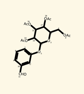 CC(=O)OCC1OC(Oc2cccc(C=O)c2)C(OC(C)=O)C(OC(C)=O)C1OC(C)=O